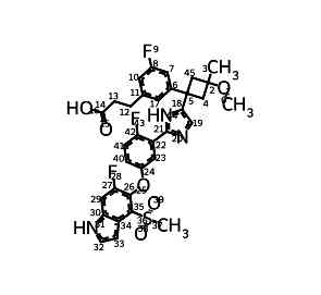 COC1(C)CC(c2cc(F)cc(CCC(=O)O)c2)(c2cnc(-c3cc(Oc4c(F)cc5[nH]ccc5c4S(C)(=O)=O)ccc3F)[nH]2)C1